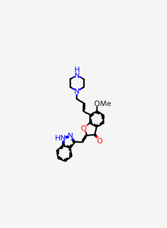 COc1ccc2c(c1C=CCN1CCNCC1)OC(=Cc1n[nH]c3ccccc13)C2=O